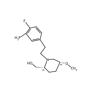 CO[C@@H]1CC[C@H](CO)N(CCc2ccc(F)c(P)c2)C1